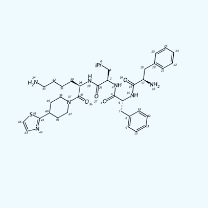 CC(C)C[C@@H](NC(=O)[C@@H](Cc1ccccc1)NC(=O)[C@H](N)Cc1ccccc1)C(=O)N[C@H](CCCCN)C(=O)N1CCC(c2nccs2)CC1